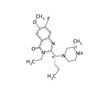 CCC[C@H](c1nc2cc(F)c(OC)cc2c(=O)n1CC)N1CCN[C@@H](C)C1